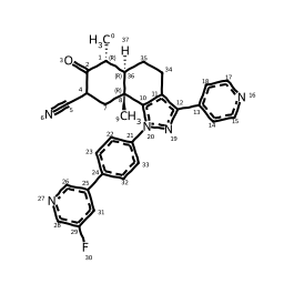 C[C@H]1C(=O)C(C#N)C[C@@]2(C)c3c(c(-c4ccncc4)nn3-c3ccc(-c4cncc(F)c4)cc3)CC[C@H]12